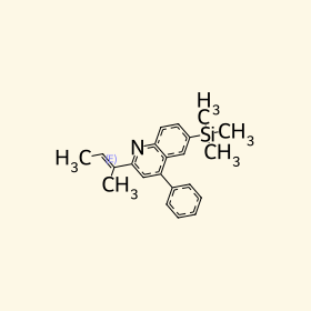 C/C=C(\C)c1cc(-c2ccccc2)c2cc([Si](C)(C)C)ccc2n1